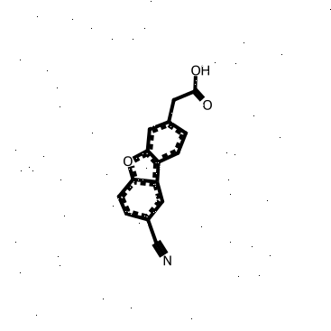 N#Cc1ccc2oc3cc(CC(=O)O)ccc3c2c1